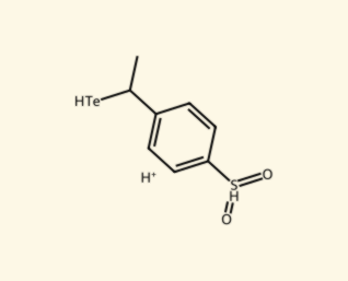 CC([TeH])c1ccc([SH](=O)=O)cc1.[H+]